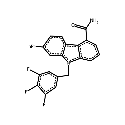 CCCc1c[c]c2c3c(C(N)=O)cccc3n(Cc3cc(F)c(F)c(F)c3)c2c1